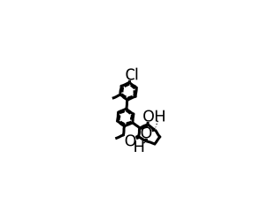 CCc1ccc(-c2ccc(Cl)cc2C)cc1C1=C(O)[C@@]2(C)CC[C@H](O2)C1=O